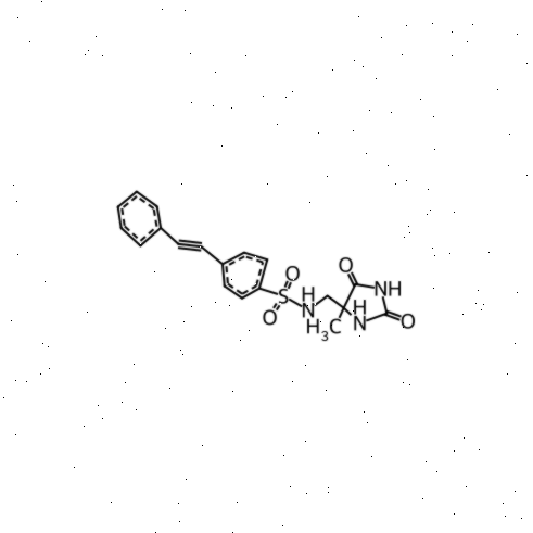 CC1(CNS(=O)(=O)c2ccc(C#Cc3ccccc3)cc2)NC(=O)NC1=O